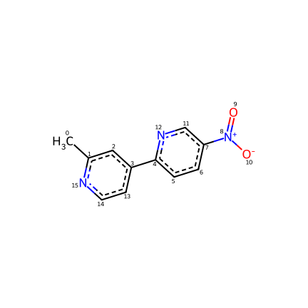 Cc1cc(-c2ccc([N+](=O)[O-])cn2)ccn1